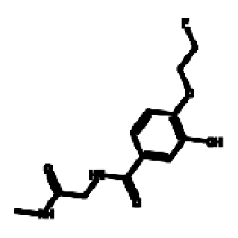 CNC(=O)CNC(=O)c1ccc(OCCF)c(O)c1